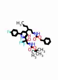 CCCC(CCNC(=O)OCc1ccccc1)c1cc(-c2ccc(F)cc2)nc(C(O)(CNC(=O)OC(C)(C)C)C(F)(F)F)c1